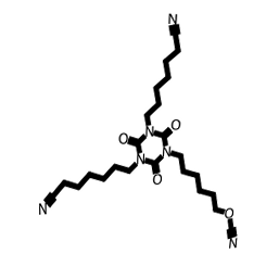 N#CCCCCCCn1c(=O)n(CCCCCCC#N)c(=O)n(CCCCCCOC#N)c1=O